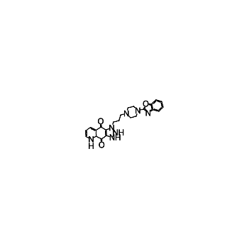 O=C1C2=CC=CNC2C(=O)C2=C1N(CCCN1CCN(c3nc4ccccc4o3)CC1)NN2